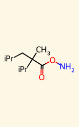 CC(C)CC(C)(C(=O)ON)C(C)C